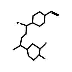 C=CC1CCC(C(CCC)CCC(C)C2CCC(F)C(F)C2)CC1